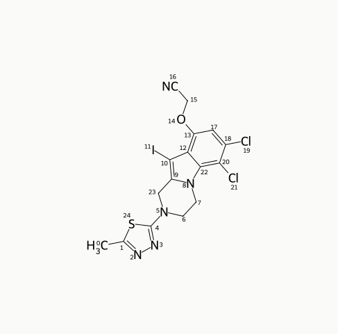 Cc1nnc(N2CCn3c(c(I)c4c(OCC#N)cc(Cl)c(Cl)c43)C2)s1